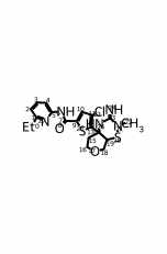 CCc1cccc(NC(=O)c2cc(Cl)c(C34CCOCC3SN(C)C(=N)N4)s2)n1